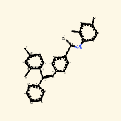 CCC(Nc1ccc(C)cc1C)c1ccc(C=C(c2ccccc2)c2ccc(C)cc2C)cc1